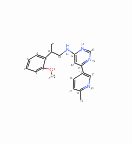 CCOc1ccccc1C(C)CNc1cc(-c2ccc(C)nc2)ncn1